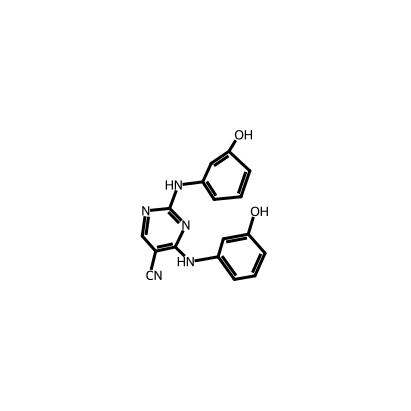 N#Cc1cnc(Nc2cccc(O)c2)nc1Nc1cccc(O)c1